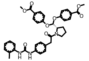 COC(=O)c1ccc(OC(Oc2ccc(C(=O)OC)cc2)[C@@H]2CCCN2C(=O)Cc2ccc(NC(=O)Nc3ccccc3C)cc2)cc1